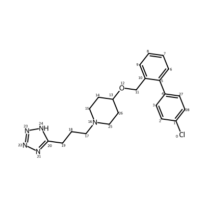 Clc1ccc(-c2ccccc2COC2CCN(CCCc3nnn[nH]3)CC2)cc1